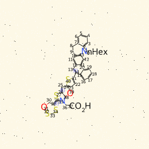 CCCCCCN1c2ccccc2CCc2cc(/C=C(\c3ccccc3)c3ccc(/C=c4/s/c(=C5\COSCS5)n(CC(=O)O)c4=O)s3)ccc21